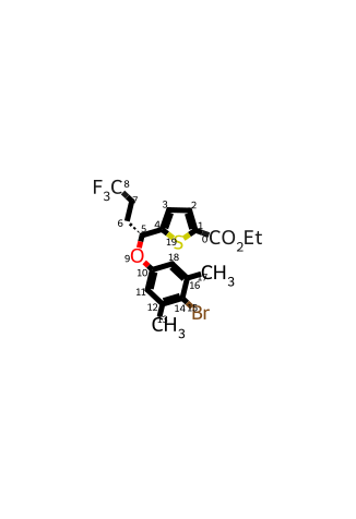 CCOC(=O)c1ccc([C@@H](CCC(F)(F)F)Oc2cc(C)c(Br)c(C)c2)s1